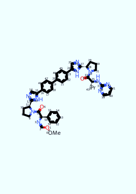 COO/C=N\[C@@H](C(=O)N1CCC[C@H]1c1ncc(-c2ccc(-c3ccc(-c4cnc([C@@H]5CCCN5C(=O)[C@H](Nc5ncccn5)C(C)C)[nH]4)cc3)cc2)[nH]1)c1ccccc1